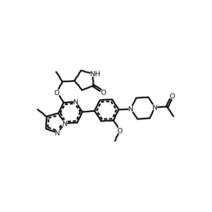 COc1cc(-c2cn3ncc(C)c3c(OC(C)C3CNC(=O)C3)n2)ccc1N1CCN(C(C)=O)CC1